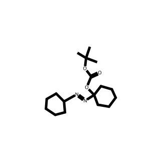 CC(C)(C)OC(=O)OC1(/N=N/C2CCCCC2)CCCCC1